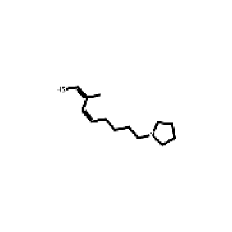 CC(/C=C\CCCCN1CCCC1)=C/S